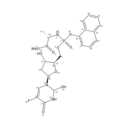 COC(=O)[C@H](C)NP(=O)(OC[C@H]1O[C@@H](N2C=C(F)C(=O)NC2O)CC1O)Oc1cccc2ccccc12